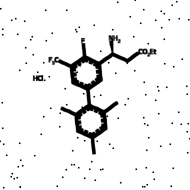 CCOC(=O)C[C@H](N)c1cc(-c2c(C)cc(C)cc2C)cc(C(F)(F)F)c1F.Cl